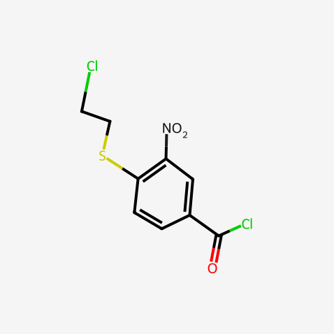 O=C(Cl)c1ccc(SCCCl)c([N+](=O)[O-])c1